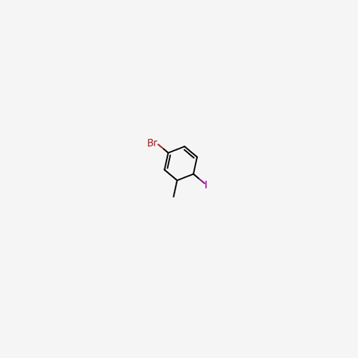 CC1C=C(Br)C=CC1I